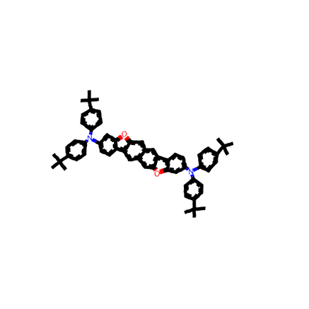 CC(C)(C)c1ccc(N(c2ccc(C(C)(C)C)cc2)c2ccc3c(c2)oc2cc4cc5c(cc4cc23)oc2cc(N(c3ccc(C(C)(C)C)cc3)c3ccc(C(C)(C)C)cc3)ccc25)cc1